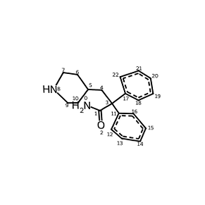 NC(=O)C(CC1CCNCC1)(c1ccccc1)c1ccccc1